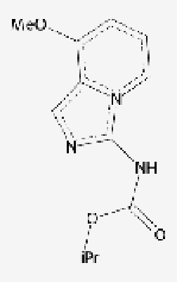 COc1cccn2c(NC(=O)OC(C)C)ncc12